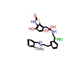 COc1ccccc1CNCCc1cccc(CCNC(O)(O)Cc2ccc(O)c3[nH]c(=O)sc23)c1.Cl.Cl